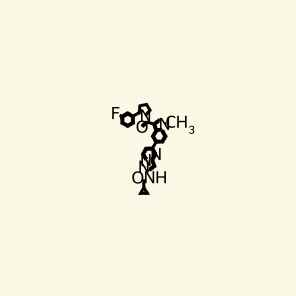 Cn1cc(C(=O)N2CCCC2c2cccc(F)c2)c2cc(-c3ccn4nc(NC(=O)C5CC5)cc4n3)ccc21